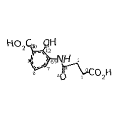 O=C(O)CCC(=O)Nc1cccc(C(=O)O)c1O